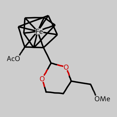 COCC1CCOC([C]23[CH]4[CH]5[CH]6[C]2(OC(C)=O)[Fe]56432789[CH]3[CH]2[CH]7[CH]8[CH]39)O1